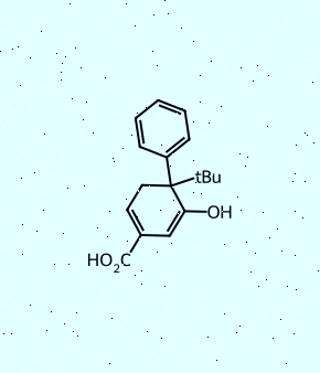 CC(C)(C)C1(c2ccccc2)CC=C(C(=O)O)C=C1O